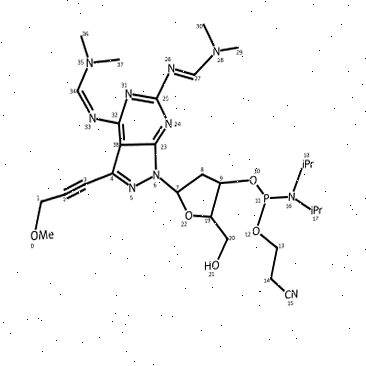 COCC#Cc1nn(C2CC(OP(OCCC#N)N(C(C)C)C(C)C)C(CO)O2)c2nc(/N=C/N(C)C)nc(/N=C\N(C)C)c12